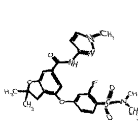 CN(C)S(=O)(=O)c1ccc(Oc2cc(C(=O)Nc3ccn(C)n3)cc3c2CC(C)(C)O3)cc1F